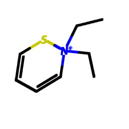 CC[N+]1(CC)C=CC=CS1